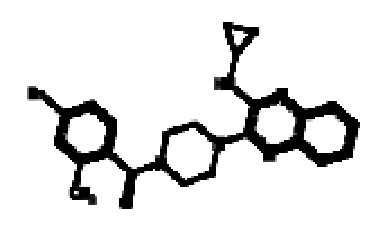 Cc1cc(Br)ccc1C(=O)N1CCN(c2nc3ccccc3nc2NC2CC2)CC1